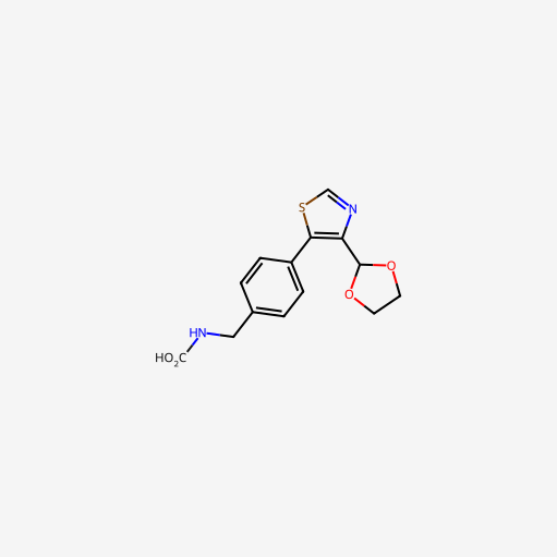 O=C(O)NCc1ccc(-c2scnc2C2OCCO2)cc1